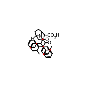 Cc1ccccc1C(C(=O)N1C[C@@H]2CCC([C@H]1C(=O)O)N2C(=O)C(c1ccccc1)c1ccccc1)c1ccccc1C